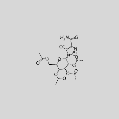 CC(=O)OC[C@H]1O[C@@H](N2[C+]=NC(C(N)=O)=C2[O-])[C@H](OC(C)=O)[C@@H](OC(C)=O)[C@H]1OC(C)=O